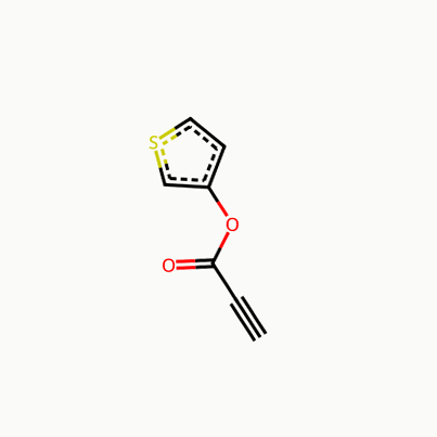 C#CC(=O)Oc1ccsc1